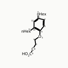 CCCCCCc1ccc(OCCCC(=O)O)c(CCCCCC)c1